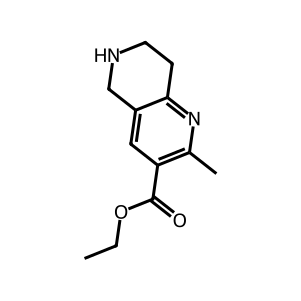 CCOC(=O)c1cc2c(nc1C)CCNC2